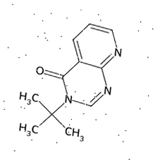 CC(C)(C)n1cnc2ncccc2c1=O